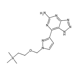 C[Si](C)(C)CCOCn1ccc(-c2nc(N)nc3nn[nH]c23)n1